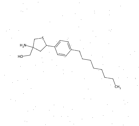 CCCCCCCCc1ccc(C2CC(N)(CO)CS2)cc1